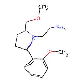 COCC1CCC(c2ccccc2OC)N1CCN